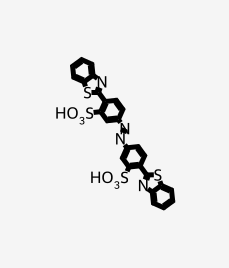 O=S(=O)(O)c1cc(N=Nc2ccc(-c3nc4ccccc4s3)c(S(=O)(=O)O)c2)ccc1-c1nc2ccccc2s1